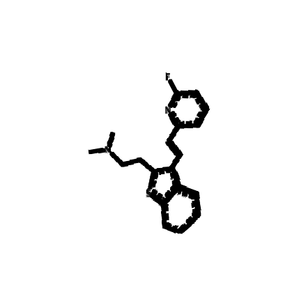 CN(C)CCc1sc2ccccc2c1C=Cc1cccc(F)n1